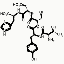 C[C@@H](O)[C@H](N)C(=O)N[C@@H](Cc1ccc(O)cc1)C(=O)N[C@@H](CO)C(=O)N[C@@H](CC(=O)O)C(=O)N[C@@H](Cc1c[nH]cn1)C(=O)O